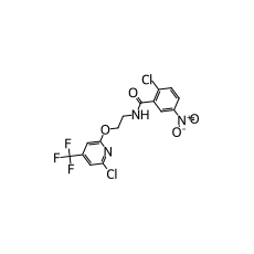 O=C(NCCOc1cc(C(F)(F)F)cc(Cl)n1)c1cc([N+](=O)[O-])ccc1Cl